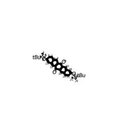 CC(C)(C)[Si](C)(C)Oc1ccc2cc3c(cc2c1)C(=O)c1cc2ccc(O[Si](C)(C)C(C)(C)C)cc2cc1C3=O